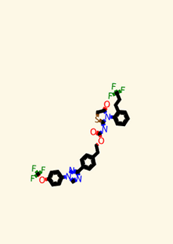 O=C(/N=C1\SCC(=O)N1c1ccccc1CCC(F)(F)F)OCCc1ccc(-c2ncn(-c3ccc(OC(F)(F)F)cc3)n2)cc1